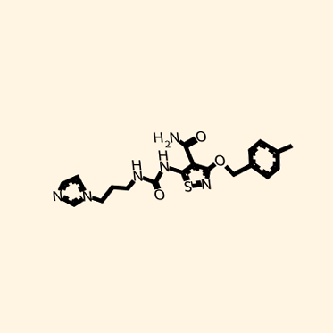 Cc1ccc(COc2nsc(NC(=O)NCCCn3ccnc3)c2C(N)=O)cc1